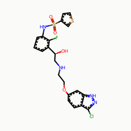 O=S(=O)(Nc1cccc([C@@H](O)CNCCOc2ccc3c(Cl)n[nH]c3c2)c1F)c1ccsc1